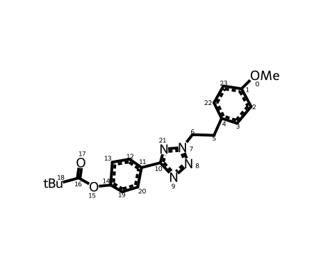 COc1ccc(CCn2nnc(-c3ccc(OC(=O)C(C)(C)C)cc3)n2)cc1